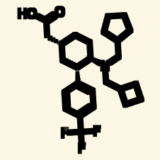 O=C(O)C[C@@H]1CC[C@@H](N(CC2CCCC2)CC2CCC2)[C@H](c2ccc(C(F)(F)F)cc2)C1